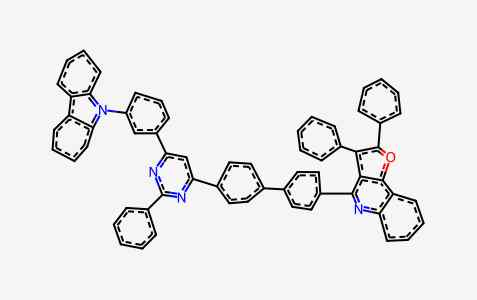 c1ccc(-c2nc(-c3ccc(-c4ccc(-c5nc6ccccc6c6oc(-c7ccccc7)c(-c7ccccc7)c56)cc4)cc3)cc(-c3cccc(-n4c5ccccc5c5ccccc54)c3)n2)cc1